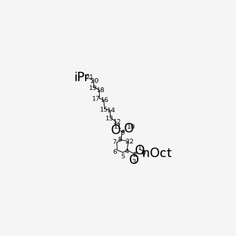 CCCCCCCCOC(=O)C1CCCC(C(=O)OCCCCCCCCCC(C)C)C1